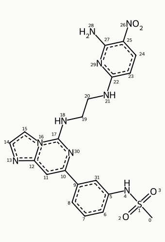 CS(=O)(=O)Nc1cccc(-c2cc3nccn3c(NCCNc3ccc([N+](=O)[O-])c(N)n3)n2)c1